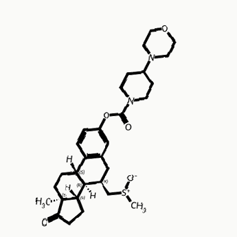 C[S+]([O-])C[C@@H]1Cc2cc(OC(=O)N3CCC(N4CCOCC4)CC3)ccc2[C@H]2CC[C@]3(C)C(=O)CC[C@H]3[C@H]12